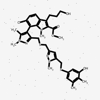 COC(=O)c1c(CCCO)c2ccc(Cl)c(-c3c(CSCc4cc(CSc5cc(C)c(C)c(O)c5)n(C)n4)nn(C)c3C)c2n1C